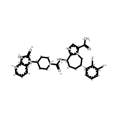 CC(=O)c1cnc2n1C[C@H](c1cccc(F)c1F)CC[C@H]2NC(=O)N1CCC(n2c(=O)[nH]c3ncccc32)CC1